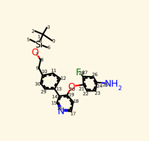 CC(C)(C)[Si](C)(C)OCCc1ccc(-c2cnccc2Oc2ccc(N)cc2F)cc1